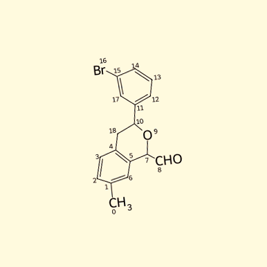 Cc1ccc2c(c1)C(C=O)OC(c1cccc(Br)c1)C2